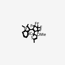 COC1C=C(C)SC1(C#N)C1=C(c2c(C)n(C)c3ccccc23)C(F)(F)C(F)(F)C1(F)F